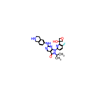 CC(C)n1c(=O)c2cnc(Nc3ccc4c(c3)CCNC4)nc2n1-c1ccc(F)c(C2(O)COC2)n1